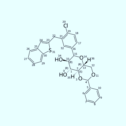 O[C@H]1[C@@H]2OC(c3ccccc3)OC[C@H]2OC(c2ccc(Cl)c(Cc3cc4ccccc4s3)c2)[C@@H]1O